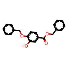 O=C(OCc1ccccc1)c1ccc(OCc2ccccc2)c(O)c1